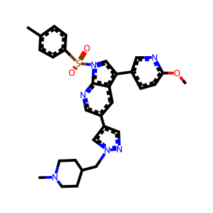 COc1ccc(-c2cn(S(=O)(=O)c3ccc(C)cc3)c3ncc(-c4cnn(CC5CCN(C)CC5)c4)cc23)cn1